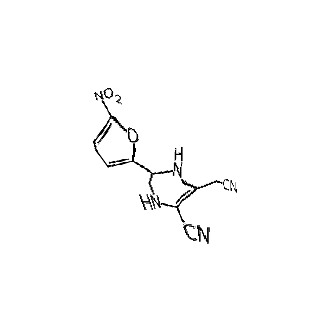 N#CC1=C(C#N)NC(c2ccc([N+](=O)[O-])o2)N1